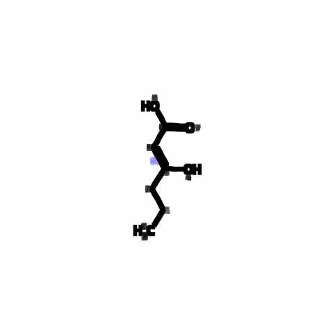 CCC/C(O)=C/C(=O)O